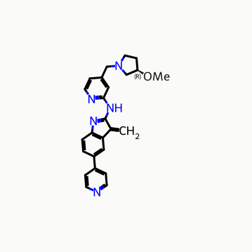 C=C1C(Nc2cc(CN3CC[C@@H](OC)C3)ccn2)=Nc2ccc(-c3ccncc3)cc21